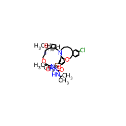 CO[C@H]1/C=C/COC(C)(C)C(=O)N=[S@](=O)(NC(=O)NC(C)C)c2ccc3c(c2)N(CCCCc2cc(Cl)ccc2CO3)C[C@@H]2CC[C@H]21